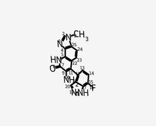 Cn1cnc2c3[nH]c(=O)c(N)c(-c4ccc(F)c5[nH]ncc45)c3ccc21